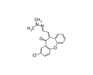 CN(C)N=CC=C1C(=O)c2cc(Cl)ccc2Oc2ccccc21